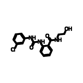 O=C(Nc1cccc(Cl)c1)Nc1ccccc1C(=O)NCCO